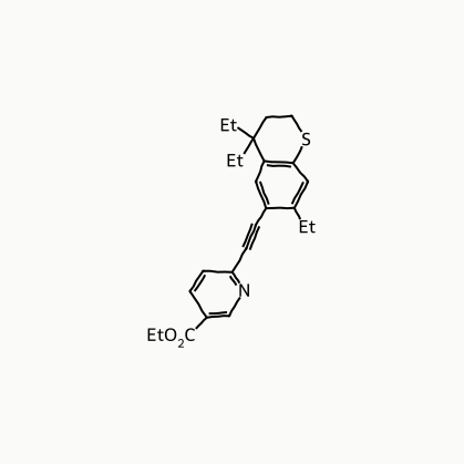 CCOC(=O)c1ccc(C#Cc2cc3c(cc2CC)SCCC3(CC)CC)nc1